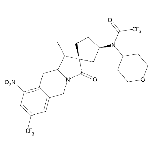 CC1C2Cc3c(cc(C(F)(F)F)cc3[N+](=O)[O-])CN2C(=O)[C@]12CC[C@@H](N(C(=O)C(F)(F)F)C1CCOCC1)C2